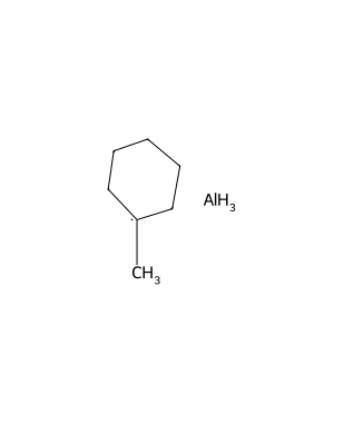 C[C]1CCCCC1.[AlH3]